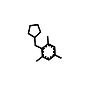 Cc1cc(C)c(CC2CCCC2)c(C)c1